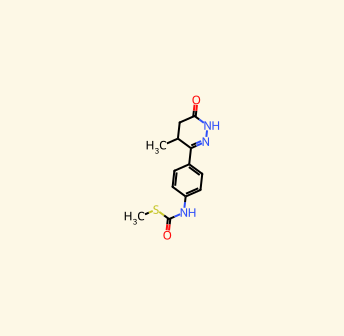 CSC(=O)Nc1ccc(C2=NNC(=O)CC2C)cc1